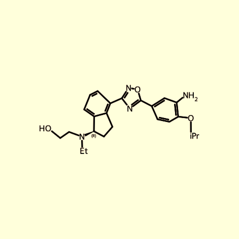 CCN(CCO)[C@@H]1CCc2c(-c3noc(-c4ccc(OC(C)C)c(N)c4)n3)cccc21